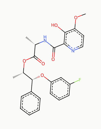 COc1ccnc(C(=O)N[C@@H](C)C(=O)O[C@@H](C)[C@H](Oc2cccc(F)c2)c2ccccc2)c1O